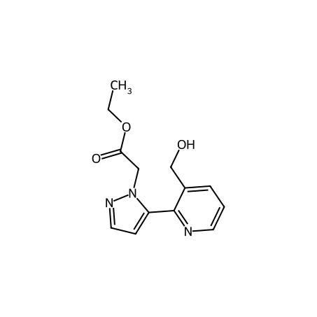 CCOC(=O)Cn1nccc1-c1ncccc1CO